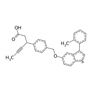 CC#CC(CC(=O)O)c1ccc(COc2ccc3scc(-c4ccccc4C)c3c2)cc1